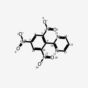 O=[N+]([O-])c1cc([N+](=O)[O-])c(-c2ncccn2)c([N+](=O)[O-])c1